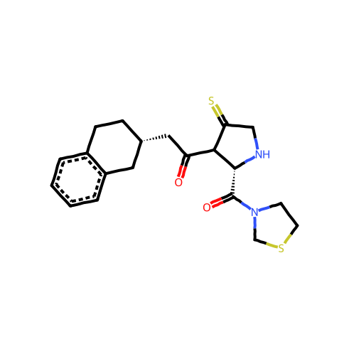 O=C(C[C@H]1CCc2ccccc2C1)C1C(=S)CN[C@@H]1C(=O)N1CCSC1